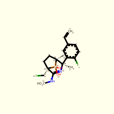 C=Cc1ccc(F)c([C@@]2(C)N=C(NC(=O)O)[C@@]3(CF)CC[C@@H]2S3(O)O)c1